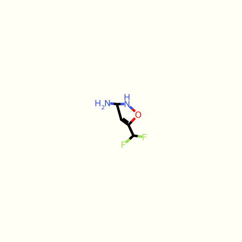 NC1C=C(C(F)F)ON1